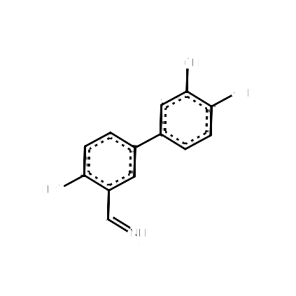 Cc1ccc(-c2ccc(C)c(C=N)c2)cc1C